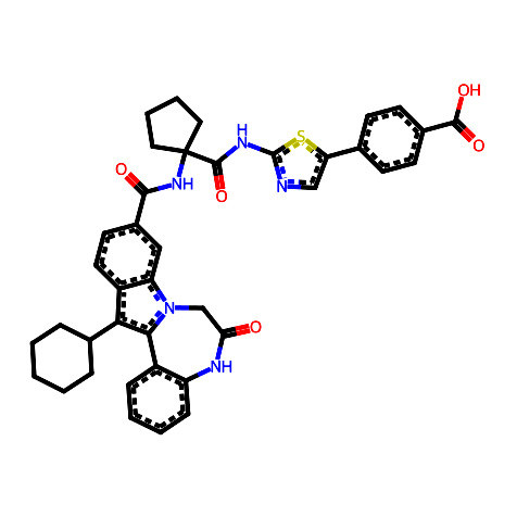 O=C1Cn2c(c(C3CCCCC3)c3ccc(C(=O)NC4(C(=O)Nc5ncc(-c6ccc(C(=O)O)cc6)s5)CCCC4)cc32)-c2ccccc2N1